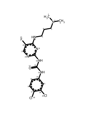 CN(C)CCCNc1nc(NC(=O)Nc2ccc(Cl)c(Cl)c2)ncc1F